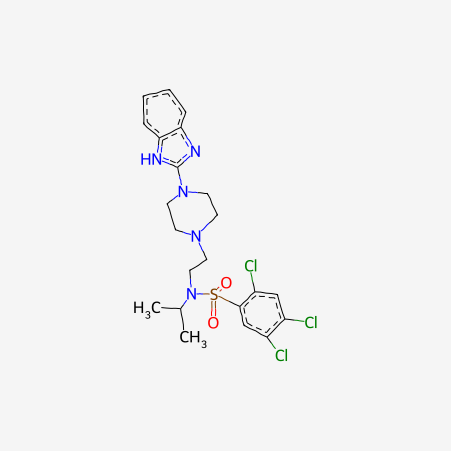 CC(C)N(CCN1CCN(c2nc3ccccc3[nH]2)CC1)S(=O)(=O)c1cc(Cl)c(Cl)cc1Cl